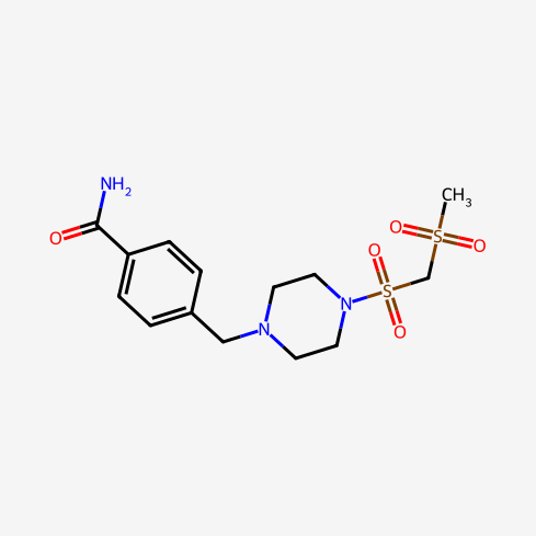 CS(=O)(=O)CS(=O)(=O)N1CCN(Cc2ccc(C(N)=O)cc2)CC1